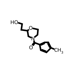 Cc1ccc(C(=O)N2CCOC(CCO)C2)cc1